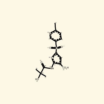 Cc1ccc(S(=O)(=O)c2cc(C(=O)O)c(NC(=O)C(C)(C)O)s2)cn1